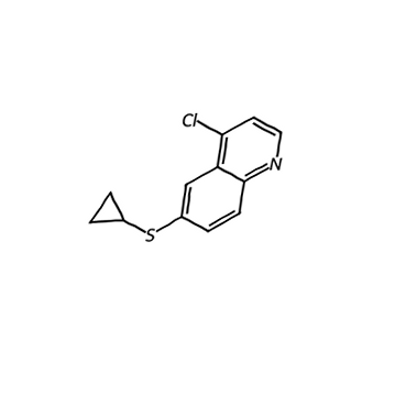 Clc1ccnc2ccc(SC3CC3)cc12